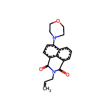 C=CCN1C(=O)c2cccc3c(N4CCOCC4)ccc(c23)C1=O